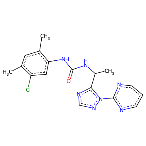 Cc1cc(C)c(NC(=O)NC(C)c2ncnn2-c2ncccn2)cc1Cl